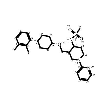 Cc1cccc([C@H]2CC[C@@H](OCC3CN(c4ccccn4)CCC3NS(C)(=O)=O)CC2)c1C